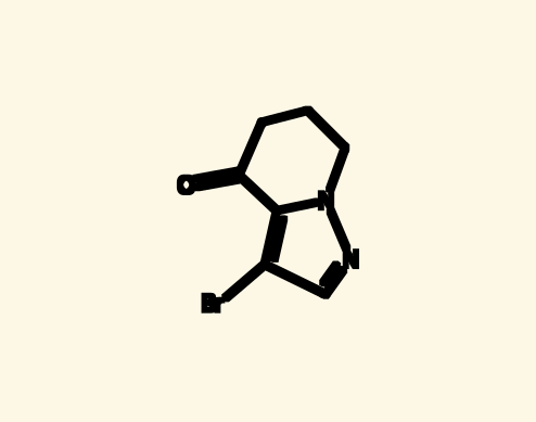 O=C1CCCn2ncc(Br)c21